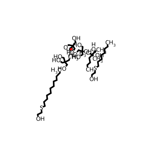 CC(CO)(CO)CO.CCC(CO)(CO)CO.CCCCC(C)(C)C(C)(O)O.CCCCCCCCCCCCSCCO.CCCCCCCCSCCO.OCC12COP(OC1)OC2